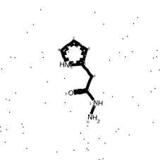 NNC(=O)Cc1ccc[nH]1